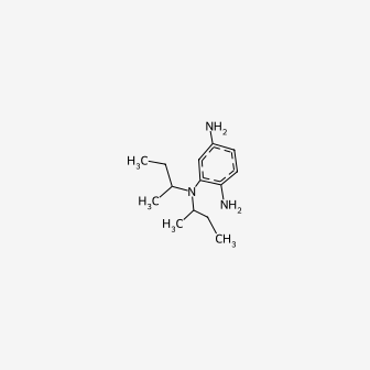 CCC(C)N(c1cc(N)ccc1N)C(C)CC